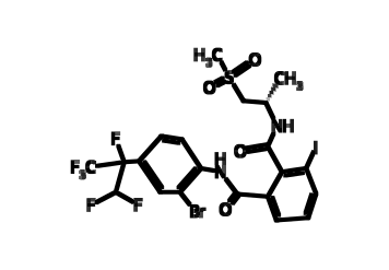 C[C@@H](CS(C)(=O)=O)NC(=O)c1c(I)cccc1C(=O)Nc1ccc(C(F)(C(F)F)C(F)(F)F)cc1Br